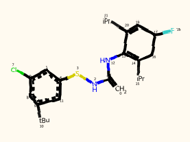 C=C(NSc1cc(Cl)cc(C(C)(C)C)c1)NC1=C(C(C)C)CC(F)C=C1C(C)C